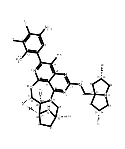 Cc1c(F)c(N)cc(-c2nc3c4c(nc(OC[C@@]56C[C@H](F)CN5C[C@H](F)C6)nc4c2F)N2C[C@H]4CC[C@H](N4)[C@H]2[C@H](C)O3)c1C(F)(F)F